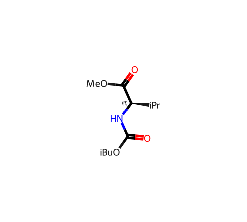 COC(=O)[C@H](NC(=O)OCC(C)C)C(C)C